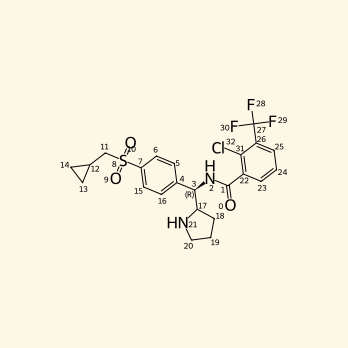 O=C(N[C@H](c1ccc(S(=O)(=O)CC2CC2)cc1)C1CCCN1)c1cccc(C(F)(F)F)c1Cl